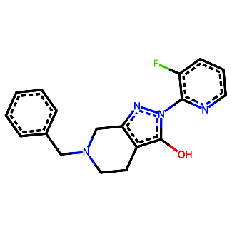 Oc1c2c(nn1-c1ncccc1F)CN(Cc1ccccc1)CC2